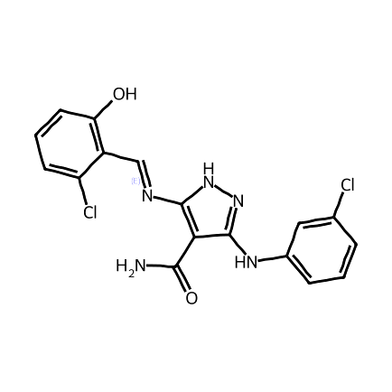 NC(=O)c1c(Nc2cccc(Cl)c2)n[nH]c1/N=C/c1c(O)cccc1Cl